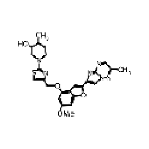 COc1cc(OCc2csc(N3CCC(C)C(O)C3)n2)c2cc(-c3cn4nc(C)cnc4n3)oc2c1